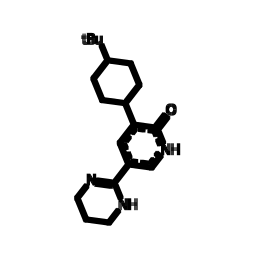 CC(C)(C)C1CCC(c2cc(C3=NCCCN3)c[nH]c2=O)CC1